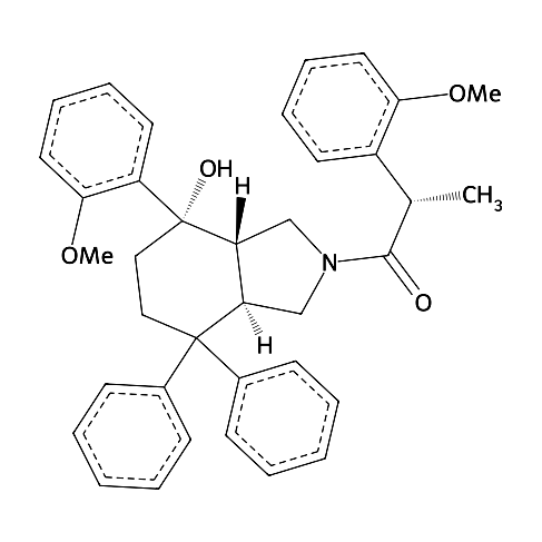 COc1ccccc1[C@H](C)C(=O)N1C[C@@H]2[C@@H](C1)[C@](O)(c1ccccc1OC)CCC2(c1ccccc1)c1ccccc1